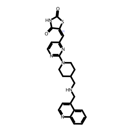 O=C1NC(=O)/C(=C\c2ccnc(N3CCC(CNCc4ccnc5ccccc45)CC3)n2)S1